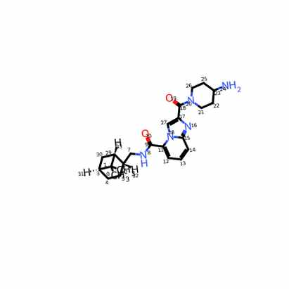 CC1(C)[C@H]2CC[C@@H](CNC(=O)c3cccc4nc(C(=O)N5CCC(N)CC5)cn34)[C@H]1C2